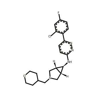 Fc1ccc(-c2ccc(N[C@H]3[C@@H]4CN(CC5CCOCC5)C[C@@H]43)nn2)c(Cl)c1